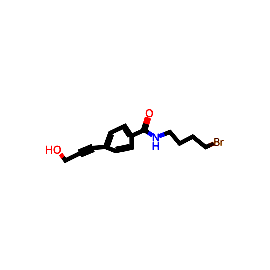 O=C(NCCCCBr)c1ccc(C#CCO)cc1